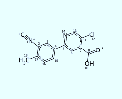 [C-]#[N+]c1cc(-c2cc(C(=O)O)c(Cl)cn2)ccc1C